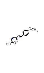 COc1ccc(/C=C/C(=O)/C=C\C(=O)O)cc1